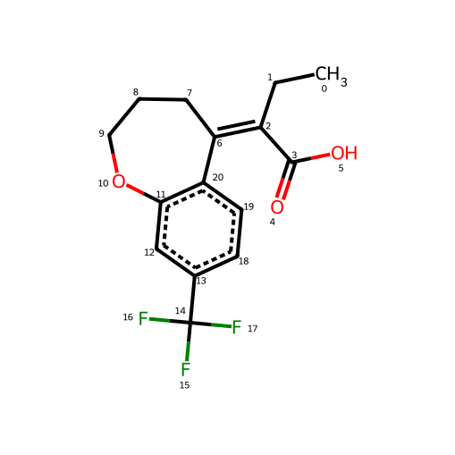 CCC(C(=O)O)=C1CCCOc2cc(C(F)(F)F)ccc21